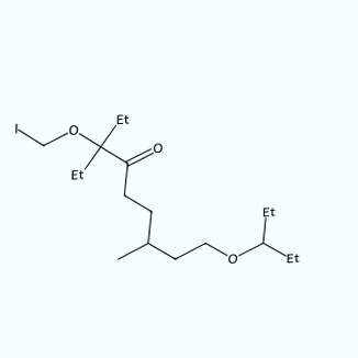 CCC(CC)OCCC(C)CCC(=O)C(CC)(CC)OCI